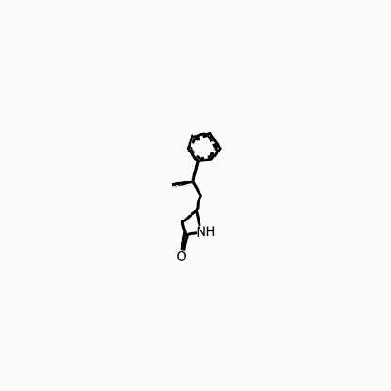 CC(CC1CC(=O)N1)c1ccccc1